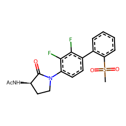 CC(=O)N[C@@H]1CCN(c2ccc(-c3ccccc3S(C)(=O)=O)c(F)c2F)C1=O